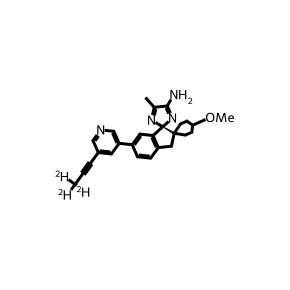 [2H]C([2H])([2H])C#Cc1cncc(-c2ccc3c(c2)[C@@]2(N=C(C)C(N)=N2)C2(CCC(OC)CC2)C3)c1